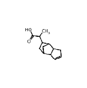 CC(C(=O)O)C1CC2CC1C1CC=CC21